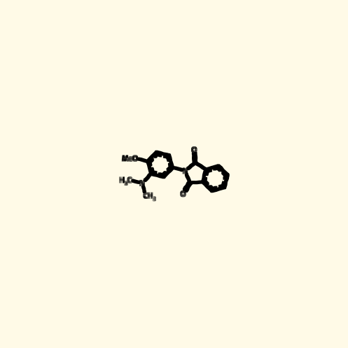 COc1ccc(N2C(=O)c3ccccc3C2=O)cc1N(C)C